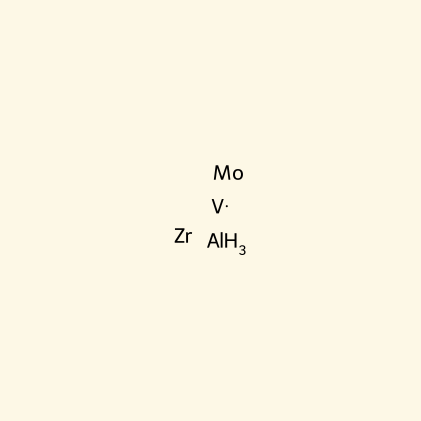 [AlH3].[Mo].[V].[Zr]